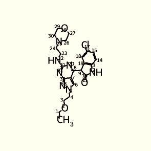 CCOCCn1cc2c(C3C(=O)Nc4ccc(Cl)cc43)nc(NCCN3CCOCC3)nc2n1